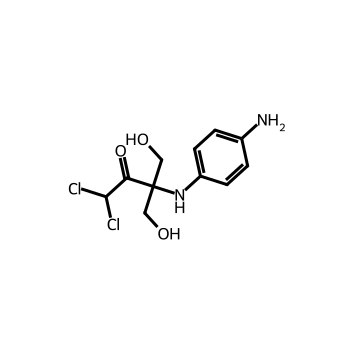 Nc1ccc(NC(CO)(CO)C(=O)C(Cl)Cl)cc1